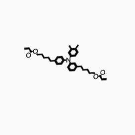 C=CC(=O)OCCCCCc1ccc(N(c2cccc(CCCCCOC(=O)C=C)c2)c2ccc(C)c(C)c2)cc1